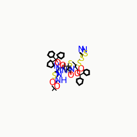 CC(C)(C)OC(=O)Nc1nc(/C(=N/OC(c2ccccc2)(c2ccccc2)c2ccccc2)C(=O)N[C@@H]2C(=O)N3C(C(=O)OC(c4ccccc4)c4ccccc4)=C(SCSc4cnns4)CS[C@H]23)cs1